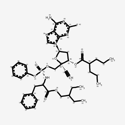 C#C[C@]1(CO[P@@](=O)(NC(Cc2ccccc2)C(=O)OCC(CC)CC)Oc2ccccc2)O[C@@H](n2cnc3c(N)nc(F)nc32)C[C@@H]1OC(=O)C(CCC)CCC